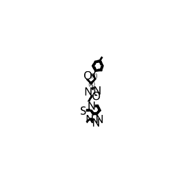 Cc1ccc([C@H]2C[C@H](c3noc(Cn4ccc5nnn(C)c5c4=S)n3)CO2)cc1